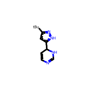 CC(C)(C)c1cc(C2C=CN=CN2)[nH]n1